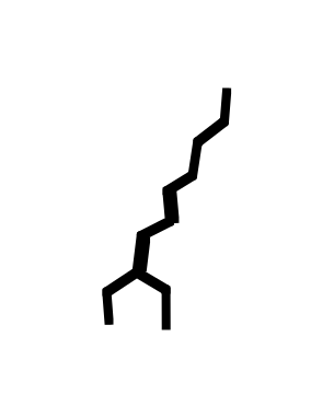 CCCCC=CC=C(CC)CC